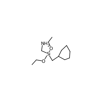 CCO[Si](CN)(CC1CCCCC1)OCC